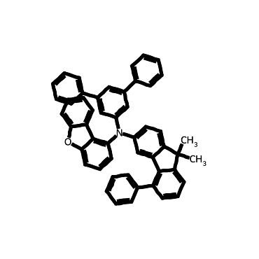 CC1(C)c2ccc(N(c3cc(-c4ccccc4)cc(-c4ccccc4)c3)c3cccc4oc5ccccc5c34)cc2-c2c(-c3ccccc3)cccc21